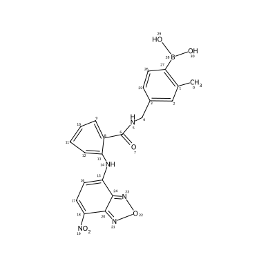 Cc1cc(CNC(=O)c2ccccc2Nc2ccc([N+](=O)[O-])c3nonc23)ccc1B(O)O